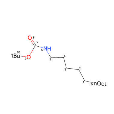 CCCCCCCCCCCCCNC(=O)OC(C)(C)C